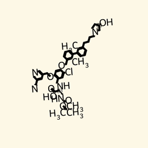 Cc1c(CCCCN2CC[C@@H](O)C2)cccc1-c1cccc(COc2cc(OCc3cncc(C#N)c3)c(CN[C@@H](CNC(=O)OC(C)(C)C)C(=O)O)cc2Cl)c1C